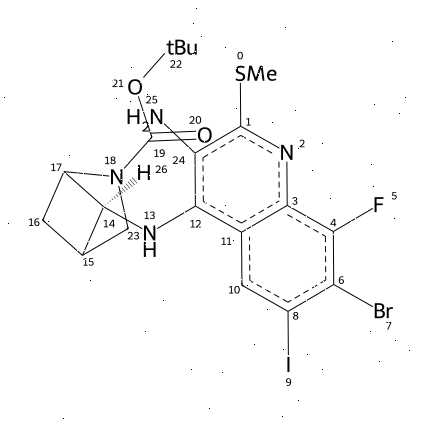 CSc1nc2c(F)c(Br)c(I)cc2c(N[C@H]2C3CC2N(C(=O)OC(C)(C)C)C3)c1N